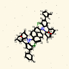 Cc1cccc(-c2cc(F)c(N(c3cc(C)ccc3C)c3ccc4ccc5c(N(c6cc(C)ccc6C)c6c(F)cc(-c7cccc(C)c7)cc6-c6cccc(C)c6)ccc6ccc3c4c65)c(-c3cccc(C)c3)c2)c1